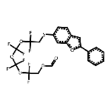 O=COCC(F)(F)OC(F)(F)OC(F)(F)OC(F)(F)CSc1ccc2cc(-c3ccccc3)oc2c1